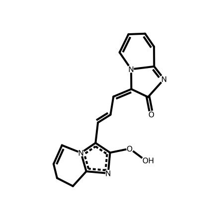 O=C1N=C2C=CC=CN2C1=CC=Cc1c(OO)nc2n1C=CCC2